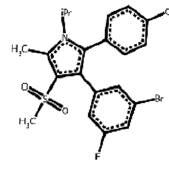 Cc1c(S(C)(=O)=O)c(-c2cc(F)cc(Br)c2)c(-c2ccc(Cl)cc2)n1C(C)C